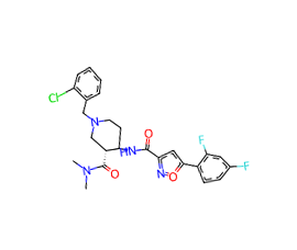 CN(C)C(=O)[C@@H]1CN(Cc2ccccc2Cl)CC[C@H]1NC(=O)c1cc(-c2ccc(F)cc2F)on1